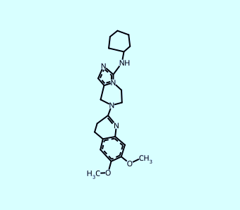 COc1cc2c(cc1OC)N=C(N1CCn3c(cnc3NC3CCCCC3)C1)CC2